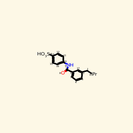 CC(C)Cc1cccc(C(=O)Nc2ccc(S(=O)(=O)O)cc2)c1